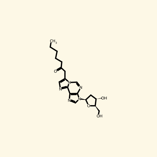 CCCCCC(=O)Cc1cnc2c3ncn([C@H]4C[C@H](O)[C@@H](CO)O4)c3ncn12